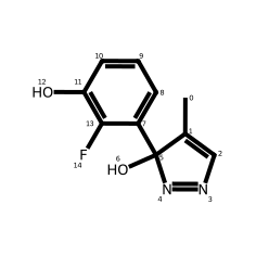 CC1=CN=NC1(O)c1cccc(O)c1F